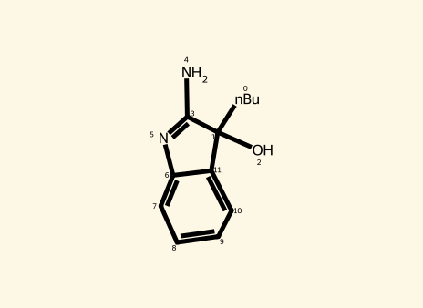 CCCCC1(O)C(N)=Nc2ccccc21